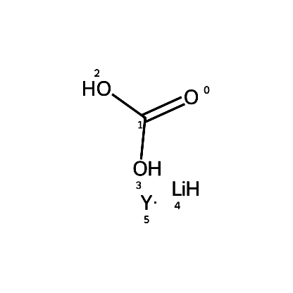 O=C(O)O.[LiH].[Y]